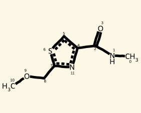 CNC(=O)c1csc(COC)n1